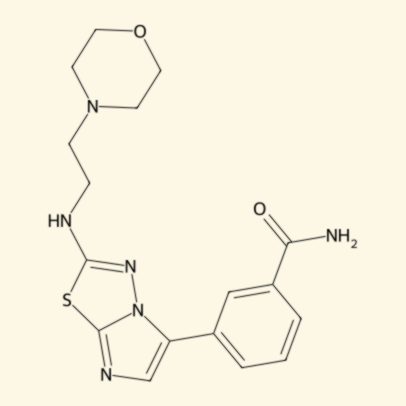 NC(=O)c1cccc(-c2cnc3sc(NCCN4CCOCC4)nn23)c1